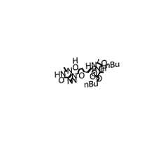 CCCCOC(=O)[C@H](C)NP(=O)(/C=C/[C@@H]1C[C@@H](O)[C@H](n2nnc3c(=O)[nH]c(C)nc32)O1)N[C@@H](C)C(=O)OCCCC